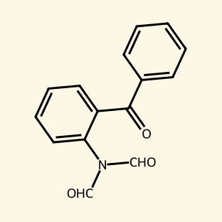 O=CN(C=O)c1ccccc1C(=O)c1ccccc1